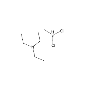 CCN(CC)CC.C[SiH](Cl)Cl